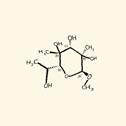 CO[C@H]1O[C@H](C(C)O)[C@](C)(O)[C@H](O)[C@@]1(C)O